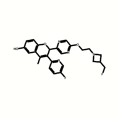 CC1=C(c2ccc(F)cn2)C(c2cnc(OCCN3CC(CF)C3)cn2)Oc2ccc(O)cc21